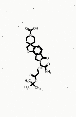 CC(C)(C)OC(=O)CC[C@@H](C(N)=O)N1Cc2c(ccc3c2OCC32CCN(C(=O)O)CC2)C1=O